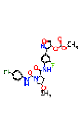 COC(=O)Oc1conc1-c1ccc(NC(=O)[C@H]2C[C@@H](OC)CN2C(=O)Nc2ccc(Cl)cc2)c(F)c1